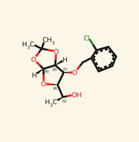 C[C@H](O)[C@H]1O[C@@H]2OC(C)(C)O[C@@H]2[C@H]1OCc1ccccc1Cl